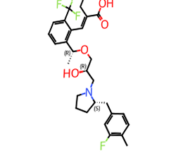 CCC(=Cc1c([C@@H](C)OC[C@H](O)CN2CCC[C@H]2Cc2ccc(C)c(F)c2)cccc1C(F)(F)F)C(=O)O